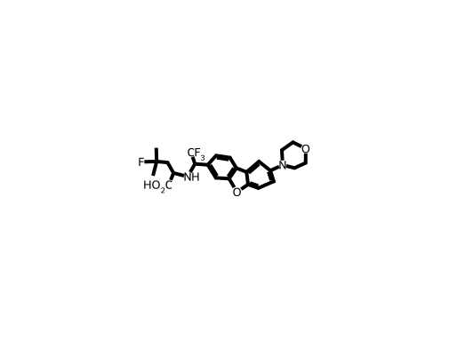 CC(C)(F)CC(NC(c1ccc2c(c1)oc1ccc(N3CCOCC3)cc12)C(F)(F)F)C(=O)O